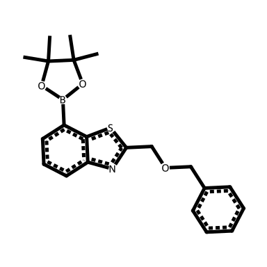 CC1(C)OB(c2cccc3nc(COCc4ccccc4)sc23)OC1(C)C